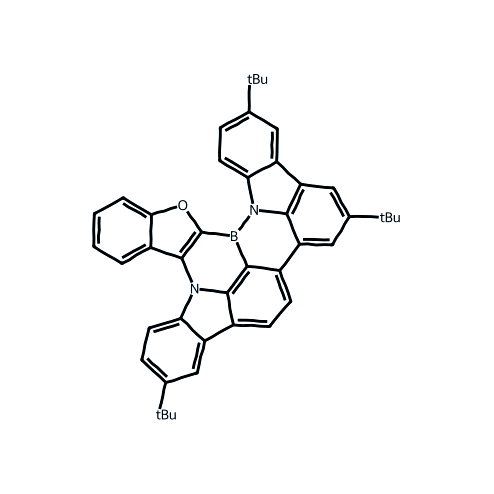 CC(C)(C)c1ccc2c(c1)c1cc(C(C)(C)C)cc3c1n2B1c2oc4ccccc4c2-n2c4ccc(C(C)(C)C)cc4c4ccc-3c1c42